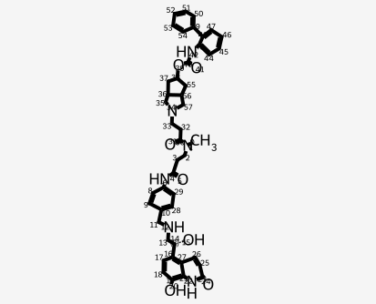 CN(CCC(=O)Nc1ccc(CNC[C@H](O)c2ccc(O)c3[nH]c(=O)ccc23)cc1)C(=O)CCN1CC2CC(OC(=O)Nc3ccccc3-c3ccccc3)CC2C1